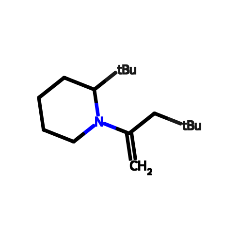 C=C(CC(C)(C)C)N1CCCCC1C(C)(C)C